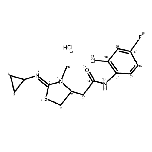 CN1C(=NC2CC2)SCC1CC(=O)Nc1ccc(F)cc1Cl.Cl